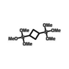 CO[Si](OC)(OC)C1CC([Si](OC)(OC)OC)C1